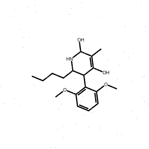 CCCCC1NC(O)C(C)=C(O)C1c1c(OC)cccc1OC